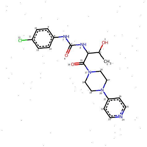 CC(O)C(NC(=O)Nc1ccc(Cl)cc1)C(=O)N1CCN(c2ccncc2)CC1